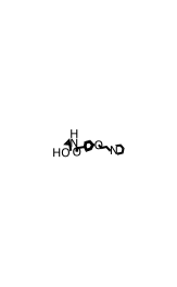 O=C(NC1(CO)CC1)c1ccc(OCCCN2CCCCC2)cc1